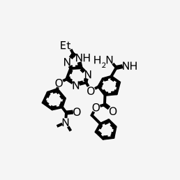 CCc1nc2c(Oc3cccc(C(=O)N(C)C)c3)nc(Oc3cc(C(=N)N)ccc3C(=O)OCc3ccccc3)nc2[nH]1